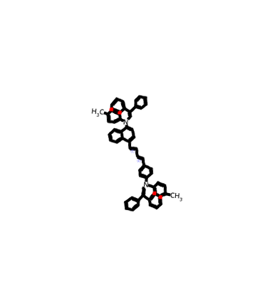 Cc1ccc(N(C=C(c2ccccc2)c2ccccc2)c2ccc(/C=C/C=C/c3ccc(N(C=C(c4ccccc4)c4ccccc4)c4ccc(C)cc4)c4ccccc34)cc2)cc1